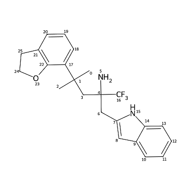 CC(C)(CC(N)(Cc1cc2ccccc2[nH]1)C(F)(F)F)c1cccc2c1OCC2